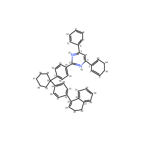 C1=CC(c2cc(-c3ccccc3)nc(-c3ccc(C4(c5ccc(C6=CCCc7ccccc76)cc5)CCCCC4)cc3)n2)=CCC1